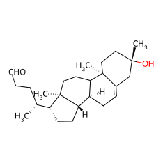 C[C@H](CCC=O)[C@H]1CC[C@H]2[C@@H]3CC=C4C[C@@](C)(O)CC[C@]4(C)C3CC[C@]12C